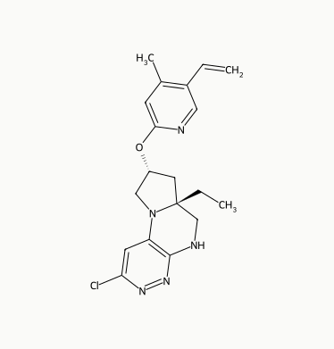 C=Cc1cnc(O[C@H]2CN3c4cc(Cl)nnc4NC[C@@]3(CC)C2)cc1C